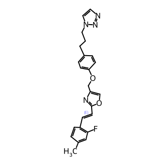 Cc1ccc(/C=C/c2nc(COc3ccc(CCCn4ccnn4)cc3)co2)c(F)c1